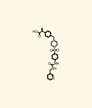 C=C(C(=O)O)c1ccc(CN2CCN(S(=O)(=O)c3ccc(NC(=O)NCc4cccnc4)cc3)CC2)cc1